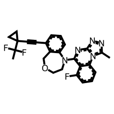 Cc1nnc2nc(N3CCOCc4c(C#CC5(C(C)(F)F)CC5)cccc43)c3c(F)cccc3n12